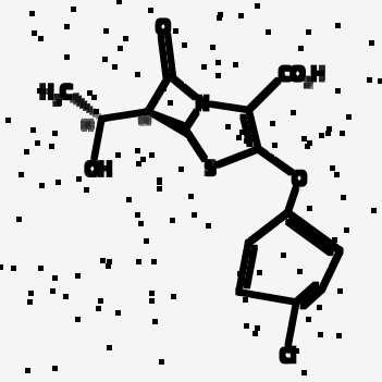 C[C@@H](O)[C@H]1C(=O)N2C(C(=O)O)=C(Oc3ccc(Cl)cc3)SC12